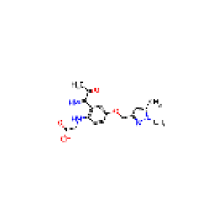 CC(=O)C(=N)c1cc(OCc2cc(C)n(C)n2)ccc1NCC(=O)O